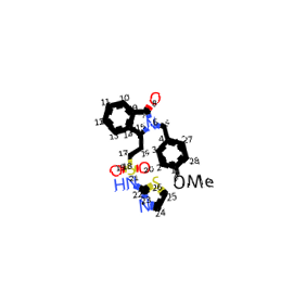 COc1ccc(CN2C(=O)c3ccccc3C2CCS(=O)(=O)Nc2nccs2)cc1